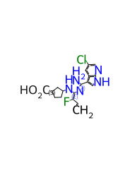 C=C/C(F)=C(\N=C(/N)c1c[nH]c2ncc(Cl)cc12)NC1CC[C@H](C(=O)O)C1